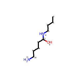 CCCCNC(O)CCCCN